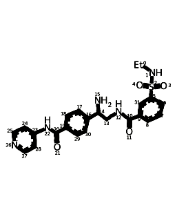 CCNS(=O)(=O)c1cccc(C(=O)NCC(N)c2ccc(C(=O)Nc3ccncc3)cc2)c1